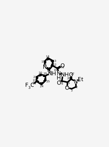 CCN1CCOC(C(=O)NNC(=O)c2cccnc2Nc2ccc(C(F)(F)F)cc2)C1=O